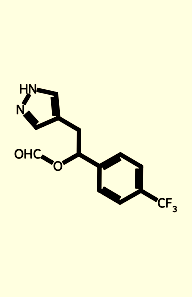 O=COC(Cc1cn[nH]c1)c1ccc(C(F)(F)F)cc1